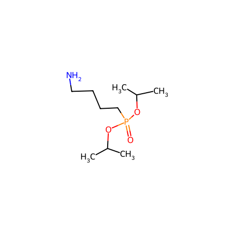 CC(C)OP(=O)(CCCCN)OC(C)C